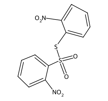 O=[N+]([O-])c1ccccc1SS(=O)(=O)c1ccccc1[N+](=O)[O-]